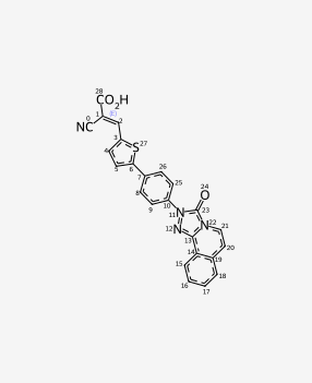 N#C/C(=C\c1ccc(-c2ccc(-n3nc4c5ccccc5ccn4c3=O)cc2)s1)C(=O)O